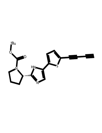 C#CC#Cc1ccc(-c2cnc([C@@H]3CCCN3C(=O)OC(C)(C)C)[nH]2)s1